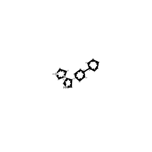 c1cc[nH]c1.c1ccc(-c2ccccc2)cc1.c1cocn1